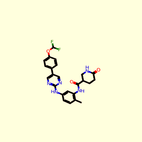 Cc1ccc(Nc2ncc(-c3ccc(OC(F)F)cc3)cn2)cc1NC(=O)C1CCC(=O)NC1